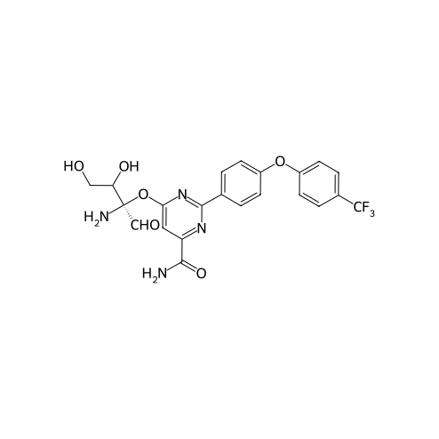 NC(=O)c1cc(O[C@](N)(C=O)C(O)CO)nc(-c2ccc(Oc3ccc(C(F)(F)F)cc3)cc2)n1